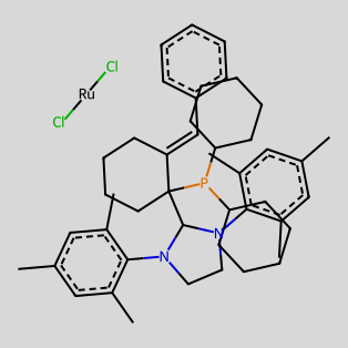 Cc1cc(C)c(N2CCN(c3c(C)cc(C)cc3C)C2C2(P(C3CCCCC3)C3CCCCC3)CCCCC2=Cc2ccccc2)c(C)c1.[Cl][Ru][Cl]